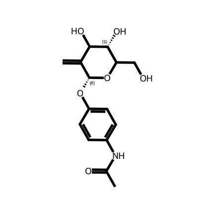 C=C1C(O)[C@H](O)C(CO)O[C@@H]1Oc1ccc(NC(C)=O)cc1